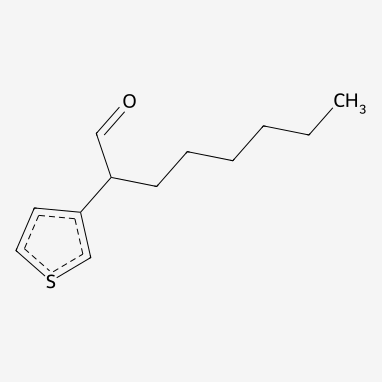 CCCCCCC(C=O)c1ccsc1